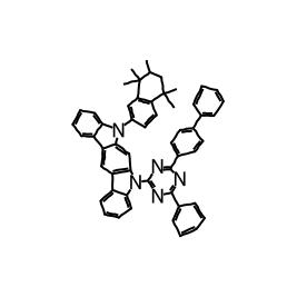 CC1CC(C)(C)c2ccc(-n3c4ccccc4c4cc5c6ccccc6n(-c6nc(-c7ccccc7)nc(-c7ccc(-c8ccccc8)cc7)n6)c5cc43)cc2C1(C)C